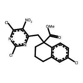 COC(=O)C1(Cc2nc(Cl)nc(Cl)c2[N+](=O)[O-])CCCc2cc(Cl)ccc21